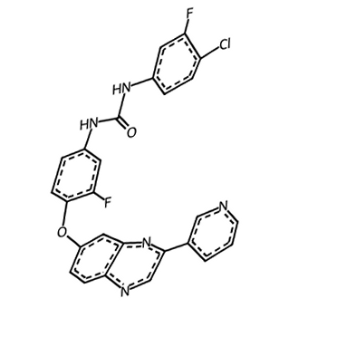 O=C(Nc1ccc(Cl)c(F)c1)Nc1ccc(Oc2ccc3ncc(-c4cccnc4)nc3c2)c(F)c1